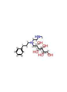 CNCCN(CCCc1ccccc1)C[C@H](O)[C@@H](O)[C@H](O)[C@H](O)CO